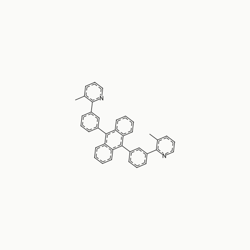 Cc1cccnc1-c1cccc(-c2c3ccccc3c(-c3cccc(-c4ncccc4C)c3)c3ccccc23)c1